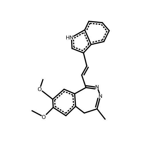 COc1cc2c(cc1OC)C(C=Cc1c[nH]c3ccccc13)=NN=C(C)C2